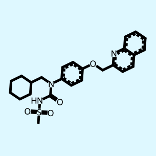 CS(=O)(=O)NC(=O)N(CC1CCCCC1)c1ccc(OCc2ccc3ccccc3n2)cc1